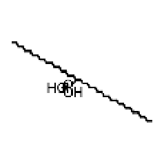 CCCCCCCCCCCCCCCCCCCCCC(CCCCCCCCCCCCCCCCCC)COP(O)O